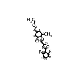 CCOCCc1cc(C)c(OCC2COC(c3c(F)cccc3F)=N2)c(C)c1